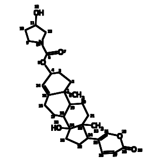 CC12CCC(OC(=O)N3CCC(O)C3)C=C1CCC1C2CCC2(C)C(c3ccc(=O)oc3)CCC12O